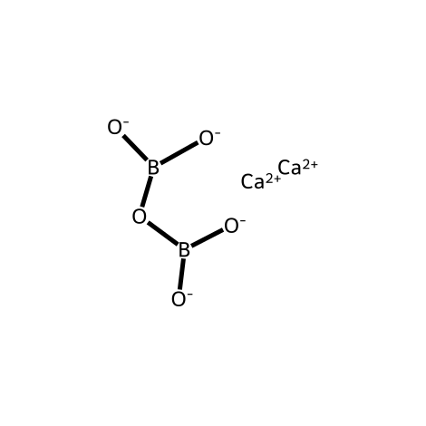 [Ca+2].[Ca+2].[O-]B([O-])OB([O-])[O-]